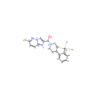 OC(c1cn2nc(Cl)ccc2n1)N1CCC(c2ccccc2C(F)(F)F)CC1